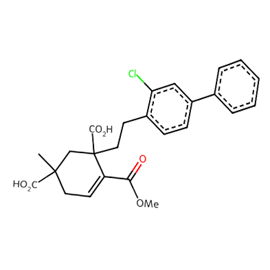 COC(=O)C1=CCC(C)(C(=O)O)CC1(CCc1ccc(-c2ccccc2)cc1Cl)C(=O)O